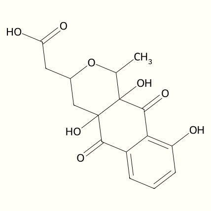 CC1OC(CC(=O)O)CC2(O)C(=O)c3cccc(O)c3C(=O)C12O